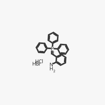 Br.Cl.Nc1ccccc1C[PH](c1ccccc1)(c1ccccc1)c1ccccc1